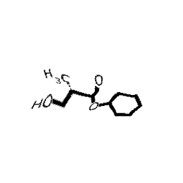 C[C@@H](CO)C(=O)OC1CCCCC1